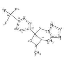 CC1OC(Cn2cncn2)(c2ccc(C(F)(F)F)cc2)C1C